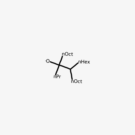 CCCCCCCCC(CCCCCC)C([O])(CCC)CCCCCCCC